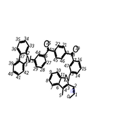 C/C=C\c1c(C)c2ccccc2n1-c1cccc(C(=O)c2ccc(C(=O)c3cccc(-n4c5ccccc5c5ccccc54)c3)cc2)c1